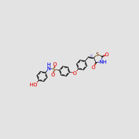 O=C1NC(=O)/C(=C\c2ccc(Oc3ccc(S(=O)(=O)Nc4ccc(O)cc4)cc3)cc2)S1